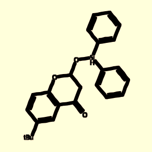 CC(C)(C)c1ccc2c(c1)C(=O)CC(O[SiH](c1ccccc1)c1ccccc1)O2